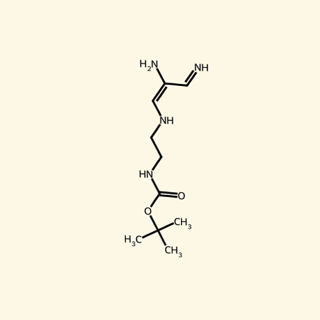 CC(C)(C)OC(=O)NCCN/C=C(/N)C=N